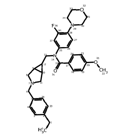 CCc1ccc(CN2CC3C(C2)C3CN(C(=O)c2ccc(OC)cc2)c2ccc(N3CCOCC3)c(F)c2)cc1